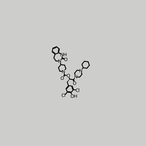 O=C(O[C@H](Cc1cc(Cl)c(O)c(Cl)c1)C(=O)N1CCN(C2CCCCC2)CC1)N1CCC(N2CCc3ccccc3NC2=O)CC1